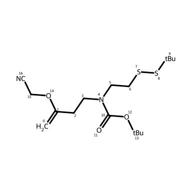 C=C(CCN(CCSSC(C)(C)C)C(=O)OC(C)(C)C)OCC#N